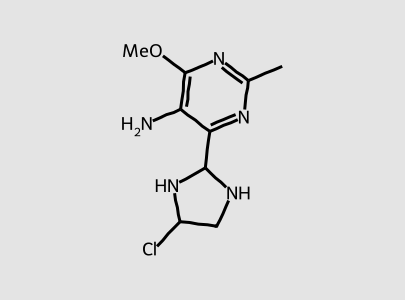 COc1nc(C)nc(C2NCC(Cl)N2)c1N